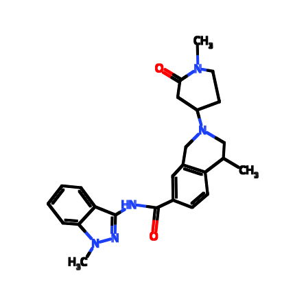 CC1CN(C2CCN(C)C(=O)C2)Cc2cc(C(=O)Nc3nn(C)c4ccccc34)ccc21